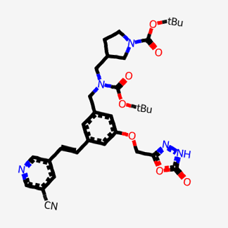 CC(C)(C)OC(=O)N1CCC(CN(Cc2cc(C=Cc3cncc(C#N)c3)cc(OCc3n[nH]c(=O)o3)c2)C(=O)OC(C)(C)C)C1